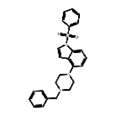 O=S(=O)(c1ccccc1)n1ccc2c(N3CCN(Cc4ccccc4)CC3)cccc21